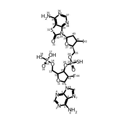 Nc1ncnc2c1ncn2[C@@H]1OC(COP(=O)(O)S)C(OP(=O)(S)OC[C@H]2O[C@@H](n3c(=O)sc4c(N)ncnc43)CC2I)[C@H]1F